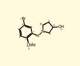 COc1ccc(Br)cc1SN1CCC(O)C1